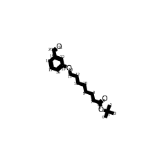 CC(C)(C)OC(=O)CCCCCCCOc1cccc(C=O)c1